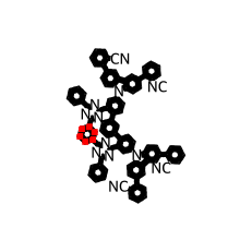 [C-]#[N+]c1ccccc1-c1ccc2c(c1)c1cc(-c3ccccc3C#N)ccc1n2-c1ccc(-c2cccc(-c3ccc(-n4c5ccc(-c6ccccc6C#N)cc5c5cc(-c6ccccc6C#N)ccc54)cc3-c3nc(-c4ccccc4)nc(-c4ccccc4)n3)c2)c(-c2nc(-c3ccccc3)nc(-c3ccccc3)n2)c1